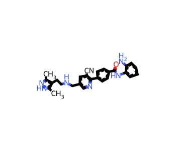 Cc1n[nH]c(C)c1CCNCc1cnc(-c2ccc(C(=O)Nc3ccccc3N)cc2)c(C#N)c1